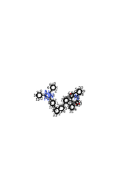 c1ccc(-c2nc(-c3ccccc3)nc(-c3ccc(-c4cccc5ccc(-c6cccc7c6-c6ccccc6C76c7ccccc7-n7c8ccccc8c8cccc6c87)cc45)cc3)n2)cc1